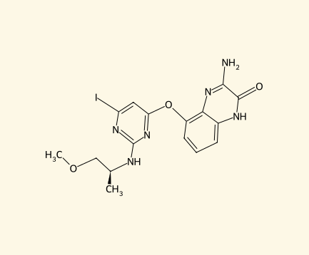 COC[C@H](C)Nc1nc(I)cc(Oc2cccc3[nH]c(=O)c(N)nc23)n1